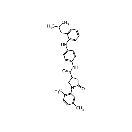 Cc1ccc(C)c(N2CC(C(=O)Nc3ccc(Nc4ccccc4CC(C)C)cc3)CC2=O)c1